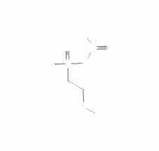 O=[PH](O)OP(=O)(O)CCNCl